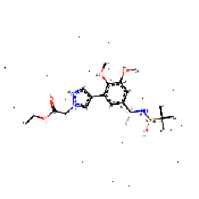 CCOC(=O)Cn1cc(-c2cc([C@@H](C)N[S@@+]([O-])C(C)(C)C)cc(OC)c2OC)cn1